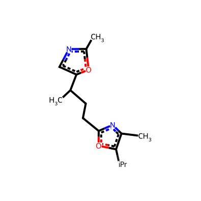 Cc1ncc(C(C)CCc2nc(C)c(C(C)C)o2)o1